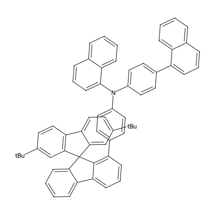 CC(C)(C)c1ccc2c(c1)C1(c3cc(C(C)(C)C)ccc3-2)c2ccccc2-c2cccc(-c3ccc(N(c4ccc(-c5cccc6ccccc56)cc4)c4cccc5ccccc45)cc3)c21